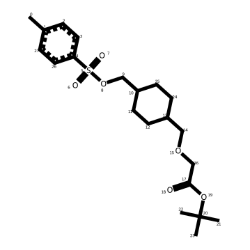 Cc1ccc(S(=O)(=O)OCC2CCC(COCC(=O)OC(C)(C)C)CC2)cc1